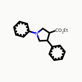 CCOC(=O)C1CN(c2ccccc2)CC1c1ccccc1